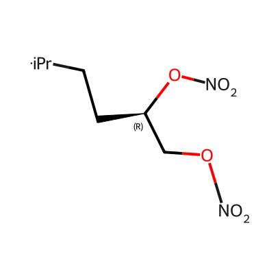 C[C](C)CC[C@H](CO[N+](=O)[O-])O[N+](=O)[O-]